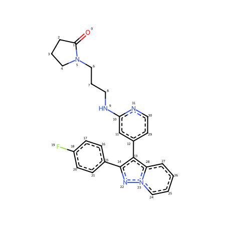 O=C1CCCN1CCCNc1cc(-c2c(-c3ccc(F)cc3)nn3ccccc23)ccn1